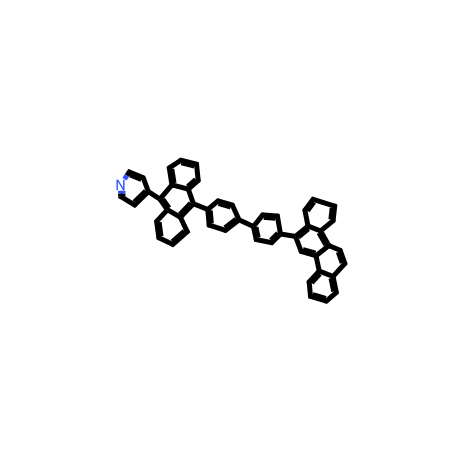 c1ccc2c(c1)ccc1c3ccccc3c(-c3ccc(-c4ccc(-c5c6ccccc6c(-c6ccncc6)c6ccccc56)cc4)cc3)cc21